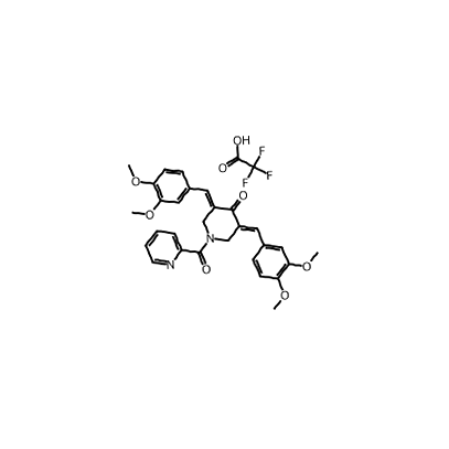 COc1ccc(C=C2CN(C(=O)c3ccccn3)CC(=Cc3ccc(OC)c(OC)c3)C2=O)cc1OC.O=C(O)C(F)(F)F